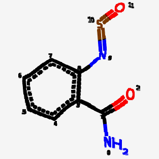 NC(=O)c1ccccc1N=S=O